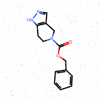 O=C(OCc1ccccc1)N1CCc2[nH]ncc2C1